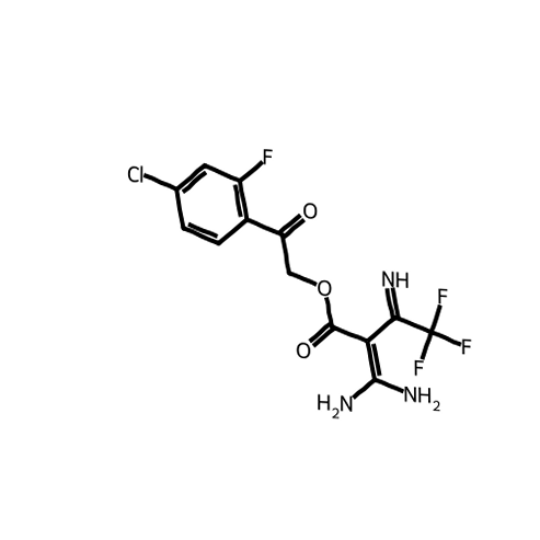 N=C(C(C(=O)OCC(=O)c1ccc(Cl)cc1F)=C(N)N)C(F)(F)F